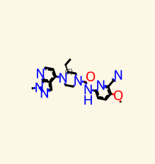 CC[C@H]1CN(C(=O)Nc2ccc(OC)c(C#N)n2)CCN1c1ccnc2c1cnn2C